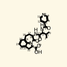 CC(C)[C@H](NC(=O)c1ccncc1)C(=O)N[C@H]1CCc2cccc3c2N(C1=O)[C@H](C(=O)O)C3